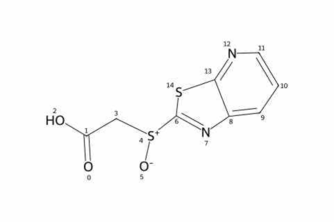 O=C(O)C[S+]([O-])c1nc2cccnc2s1